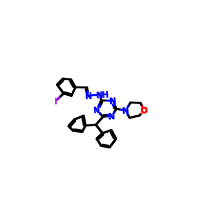 Ic1cccc(/C=N/Nc2nc(C(c3ccccc3)c3ccccc3)nc(N3CCOCC3)n2)c1